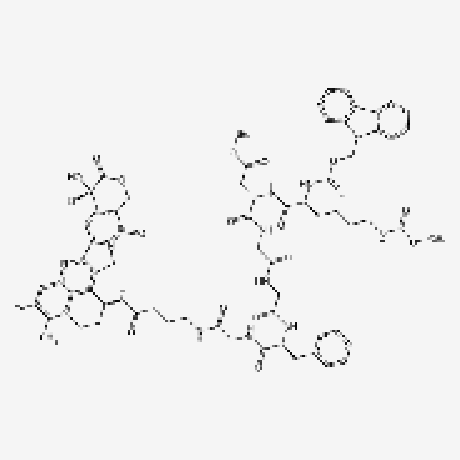 CC[C@@]1(O)C(=O)OCc2c1cc1n(c2=O)Cc2c-1nc1cc(F)c(C)c3c1c2[C@@H](NC(=O)CCCNC(=O)CNC(=O)[C@H](Cc1ccccc1)NC(=O)CNC(=O)CNC(=O)[C@H](CC(=O)OC(C)(C)C)NC(=O)[C@H](CCCCNC(=O)OC(C)(C)C)NC(=O)OCC1c2ccccc2-c2ccccc21)CC3